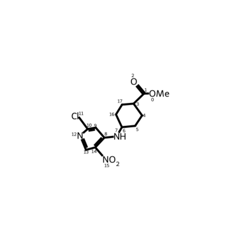 COC(=O)C1CCC(Nc2cc(Cl)ncc2[N+](=O)[O-])CC1